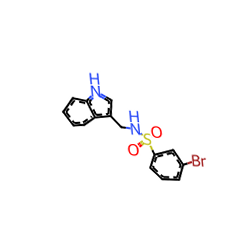 O=S(=O)(NCc1c[nH]c2ccccc12)c1cccc(Br)c1